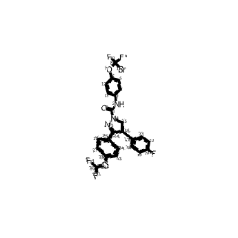 O=C(Nc1ccc(OC(F)(F)Br)cc1)N1CC(c2ccc(F)cc2)C(c2ccc(OC(F)F)cc2)=N1